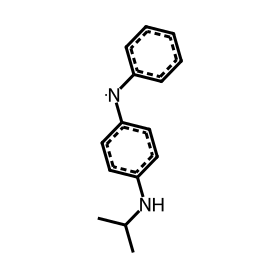 CC(C)Nc1ccc([N]c2ccccc2)cc1